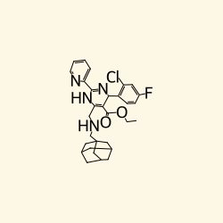 CCOC(=O)C1=C(CNCC23CC4CC(CC(C4)C2)C3)NC(c2ccccn2)=NC1c1ccc(F)cc1Cl